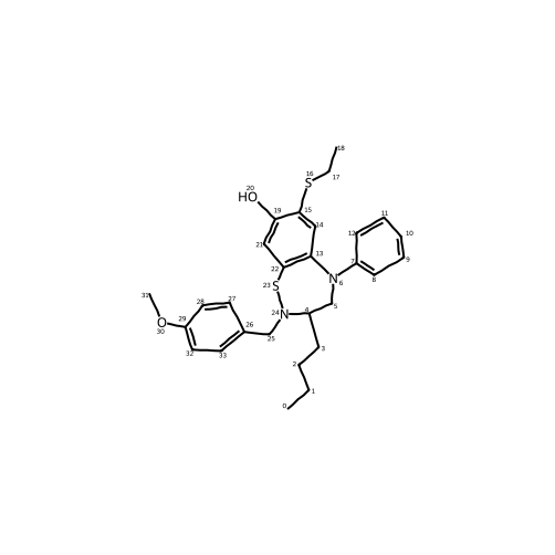 CCCCC1CN(c2ccccc2)c2cc(SCC)c(O)cc2SN1Cc1ccc(OC)cc1